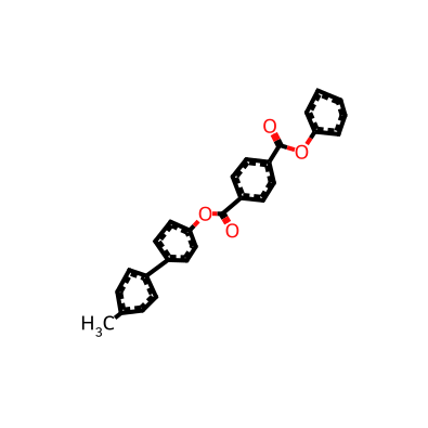 Cc1ccc(-c2ccc(OC(=O)c3ccc(C(=O)Oc4ccccc4)cc3)cc2)cc1